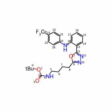 CC(C)(C)OC(=O)NCCCCc1nnc(-c2ccccc2Nc2ccc(C(F)(F)F)cc2)o1